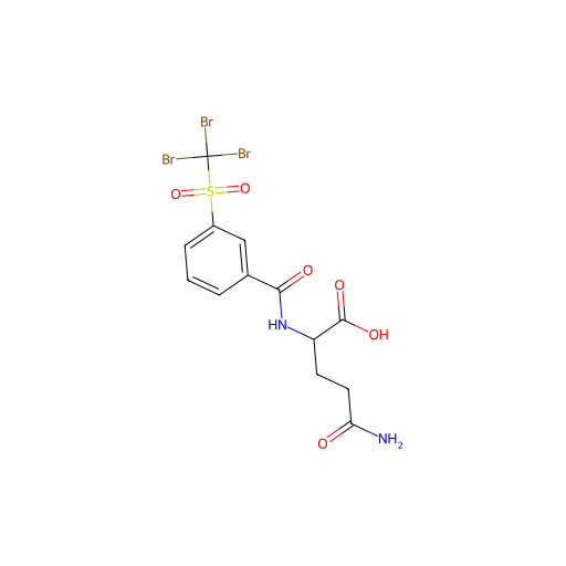 NC(=O)CCC(NC(=O)c1cccc(S(=O)(=O)C(Br)(Br)Br)c1)C(=O)O